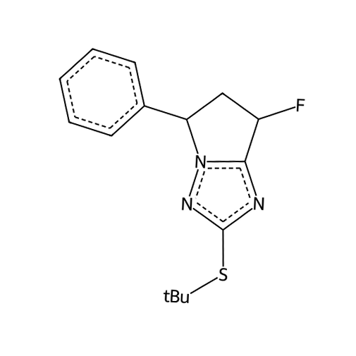 CC(C)(C)Sc1nc2n(n1)C(c1ccccc1)CC2F